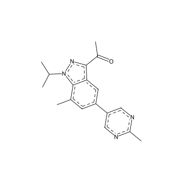 CC(=O)c1nn(C(C)C)c2c(C)cc(-c3cnc(C)nc3)cc12